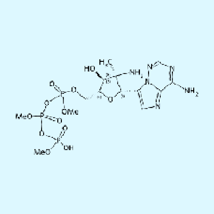 COP(=O)(O)OP(=O)(OC)OP(=O)(OC)OC[C@H]1O[C@@H](c2cnc3c(N)ncnn23)[C@](C)(N)[C@@H]1O